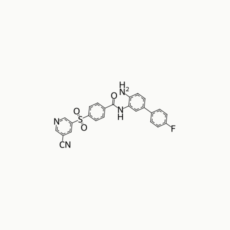 N#Cc1cncc(S(=O)(=O)c2ccc(C(=O)Nc3cc(-c4ccc(F)cc4)ccc3N)cc2)c1